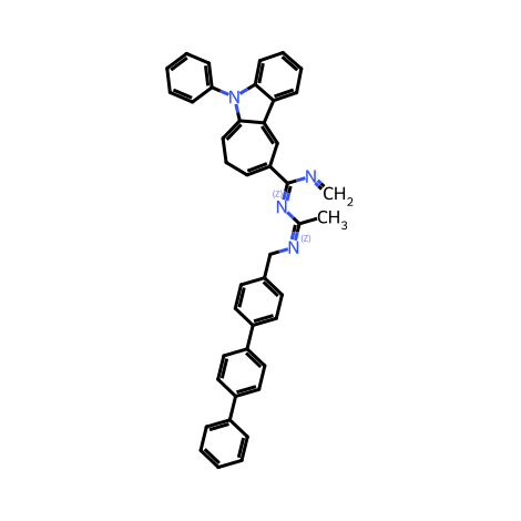 C=N/C(=N\C(C)=N/Cc1ccc(-c2ccc(-c3ccccc3)cc2)cc1)C1=CCC=c2c(c3ccccc3n2-c2ccccc2)=C1